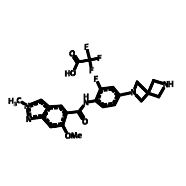 COc1cc2nn(C)cc2cc1C(=O)Nc1ccc(N2CC3(CNC3)C2)cc1F.O=C(O)C(F)(F)F